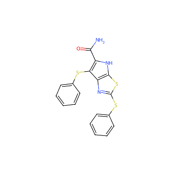 NC(=O)c1[nH]c2sc(Sc3ccccc3)nc2c1Sc1ccccc1